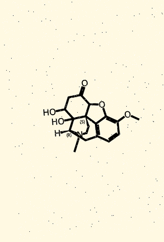 COc1ccc2c3c1OC1C(=O)CC(O)C4(O)[C@@H](C2)N(C)CC[C@]314